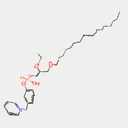 CCCCCCCCCCCCCCCCOCC(COP(=O)(O)Oc1cccc(C[n+]2ccccc2)c1)OCC